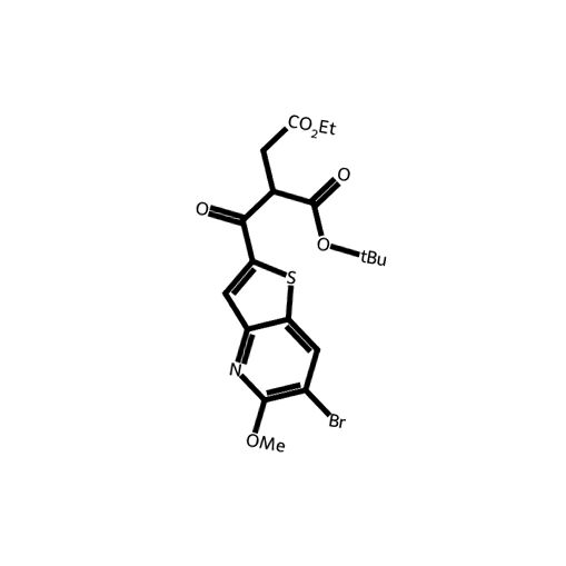 CCOC(=O)CC(C(=O)OC(C)(C)C)C(=O)c1cc2nc(OC)c(Br)cc2s1